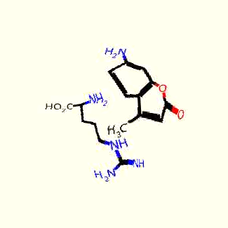 Cc1cc(=O)oc2cc(N)ccc12.N=C(N)NCCCC(N)C(=O)O